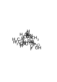 CC[C@@H]1[C@H](C)c2c(C(F)(F)F)nn(CC(=O)N[C@@H](Cc3cc(F)cc(F)c3)c3nc(C#CC4(CO)CCCC4)ccc3-c3ccc(Cl)c4c(NS(C)(=O)=O)nn(C)c34)c2C1(F)F